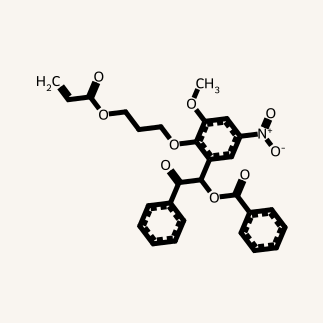 C=CC(=O)OCCCOc1c(OC)cc([N+](=O)[O-])cc1C(OC(=O)c1ccccc1)C(=O)c1ccccc1